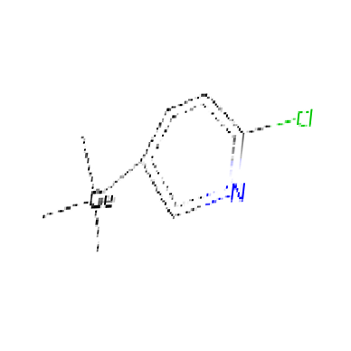 [CH3][Ge]([CH3])([CH3])[c]1ccc(Cl)nc1